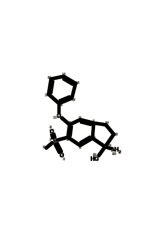 CS(=O)(=O)c1cc2c(cc1Oc1ccccc1)CCC2(N)O